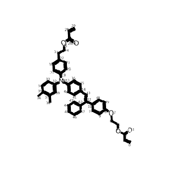 C=CC(=O)OCCOc1ccc(C(=Cc2ccc(N(c3ccc(CCOC(=O)C=C)cc3)c3ccc(C)c(C)c3)cc2)c2ccccc2)cc1